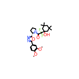 COc1ccc(-c2nnc([C@@H]3CCCN3C(=O)C(F)(F)C3(O)CC(C)(C)CC(C)(C)C3)o2)cc1OC